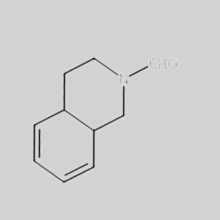 O=[C]N1[CH]CC2C=CC=CC2C1